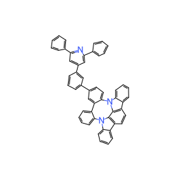 c1ccc(-c2cc(-c3cccc(-c4ccc5c(c4)c4ccccc4n4c6ccccc6c6ccc7c8ccccc8n5c7c64)c3)cc(-c3ccccc3)n2)cc1